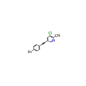 CC(=O)c1ccc(C#Cc2cnc(C#N)c(Cl)c2)cc1